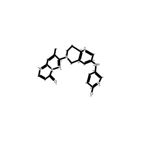 Cc1cc2nccc(=O)n2nc1N1CCc2ncc(Nc3ccc(Cl)nc3)cc2C1